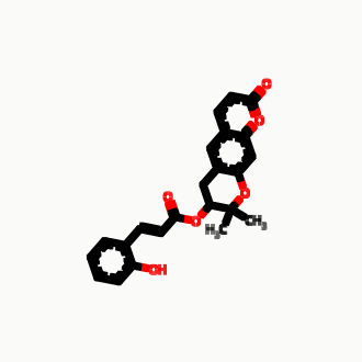 CC1(C)Oc2cc3oc(=O)ccc3cc2CC1OC(=O)C=Cc1ccccc1O